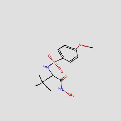 COc1ccc(S(=O)(=O)NC(C(=S)NO)C(C)(C)C)cc1